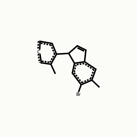 Cc1cc2c(cc1Br)C(c1ccccc1C)C=C2